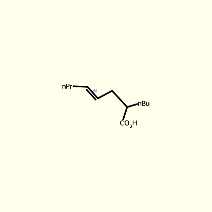 CCC/C=C/CC(CCCC)C(=O)O